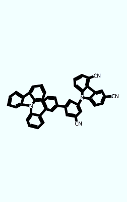 N#Cc1cc(-c2cccc(-c3ccccc3-n3c4ccccc4c4ccccc43)c2)cc(-n2c3ccc(C#N)cc3c3c(C#N)cccc32)c1